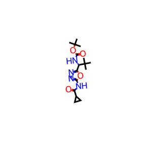 CC(C)(C)OC(=O)N[C@H](c1nnc(NC(=O)C2CC2)o1)C(C)(C)C